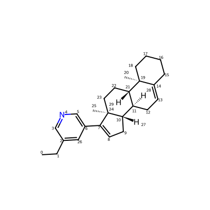 CCc1cncc(C2=CC[C@H]3[C@@H]4CC=C5CCCC[C@]5(C)[C@H]4CC[C@]23C)c1